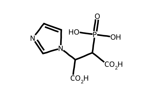 O=C(O)C(C(C(=O)O)P(=O)(O)O)n1ccnc1